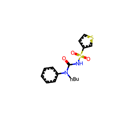 CCCCN(C(=O)NS(=O)(=O)c1ccsc1)c1ccccc1